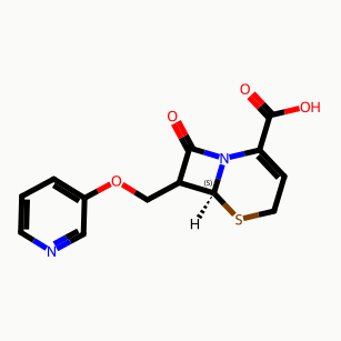 O=C(O)C1=CCS[C@H]2C(COc3cccnc3)C(=O)N12